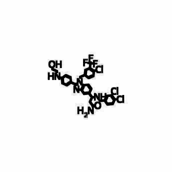 NC(=O)CC(NCc1ccc(Cl)c(Cl)c1)c1ccc2c(c1)nc(-c1ccc(NCCO)cc1)n2Cc1ccc(Cl)c(C(F)(F)F)c1